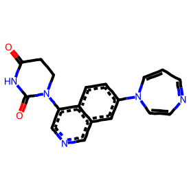 O=C1CCN(c2cncc3cc(N4C=CC=NC=C4)ccc23)C(=O)N1